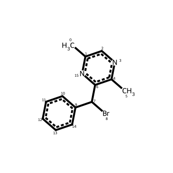 Cc1cnc(C)c(C(Br)c2ccccc2)n1